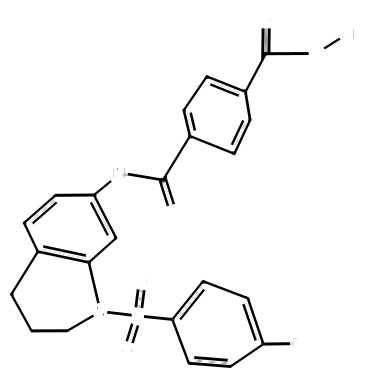 COC(=O)c1ccc(C(=O)Nc2ccc3c(c2)N(S(=O)(=O)c2ccc(F)cc2)CCC3)cc1